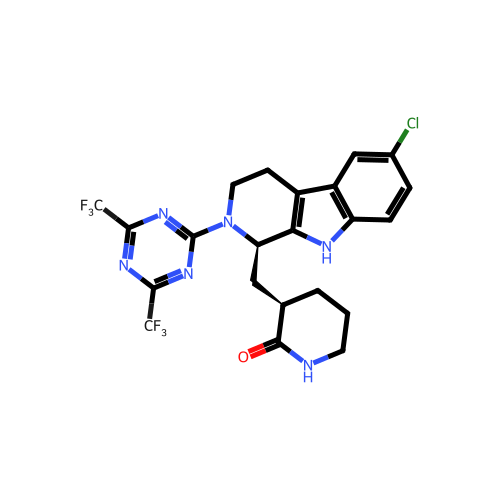 O=C1NCCC[C@@H]1C[C@@H]1c2[nH]c3ccc(Cl)cc3c2CCN1c1nc(C(F)(F)F)nc(C(F)(F)F)n1